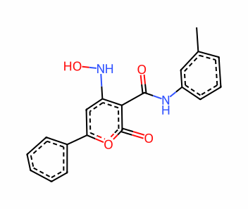 Cc1cccc(NC(=O)c2c(NO)cc(-c3ccccc3)oc2=O)c1